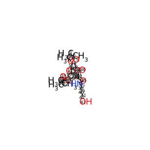 CC(C)(C)C(=O)Oc1ccc2c(c1)Oc1cc(OC(=O)C(C)(C)C)ccc1C21OC(=O)c2cc(C(=O)NCCCCCCO)ccc21